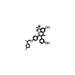 CC1=C(c2cccc(O)c2)C(c2ccc(OC[C@H](C)N3CC[C@@H](C)C3)cc2)Oc2c1cc(O)cc2S(C)(=O)=O